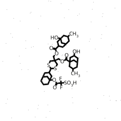 CC1CC2CC(C(=O)OCC3(COC(=O)C45CC(C)CC(CC(O)C4)C5)CSC(C4CC5CCCC(OC(=O)C(F)(F)S(=O)(=O)O)(C5)C4)SC3)CC(O)(C1)C2